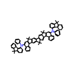 CC1(C)C2=C(CCC=C2)c2c(N(c3c#cccc3)c3cc4c(c5ccccc35)-c3cc5c(cc3C4(C)C)-c3cc4c(cc3C5(C)C)-c3c(cc(N(c5ccccc5)c5cccc6c5-c5ccccc5C6(C)C)c5ccccc35)C4(C)C)cccc21